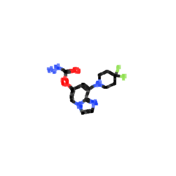 NC(=O)Oc1cc(N2CCC(F)(F)CC2)c2nccn2c1